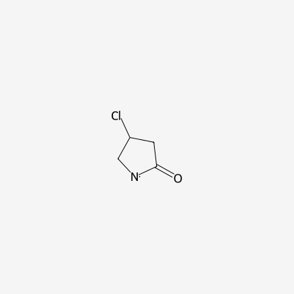 O=C1CC(Cl)C[N]1